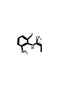 C/C=C(\Nc1c(N)cccc1F)C(F)(F)F